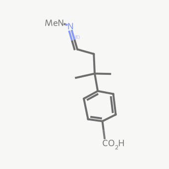 CN/N=C/CC(C)(C)c1ccc(C(=O)O)cc1